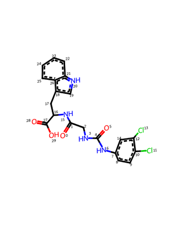 O=C(CNC(=O)Nc1ccc(Cl)c(Cl)c1)NC(Cc1c[nH]c2ccccc12)C(=O)O